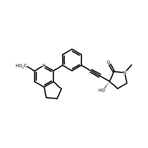 CN1CC[C@@](O)(C#Cc2cccc(-c3nc(C(=O)O)cc4c3CCC4)c2)C1=O